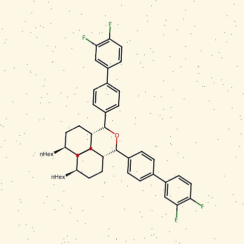 CCCCCC[C@H]1CC[C@H](C(OC(c2ccc(-c3ccc(F)c(F)c3)cc2)[C@H]2CC[C@H](CCCCCC)CC2)c2ccc(-c3ccc(F)c(F)c3)cc2)CC1